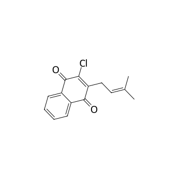 CC(C)=CCC1=C(Cl)C(=O)c2ccccc2C1=O